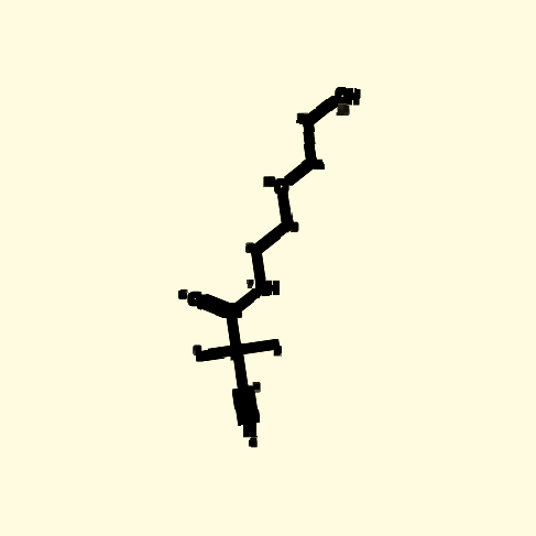 CC(C)(C#N)C(=O)NCCOCCO